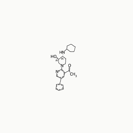 CC(=O)c1cc(-c2ccccc2)cnc1N1CC[C@@H](NC2CCCCC2)[C@H](O)C1